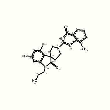 Cc1cccc2c(=O)[nH]c(N3CCC4(CC3)C(=O)N(CCO)c3cc(F)cc(F)c34)nc12